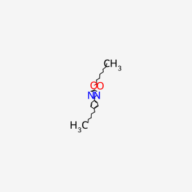 CCCCCCCC(=O)Oc1cnc(-c2ccc(CCCCCC)cc2)nc1